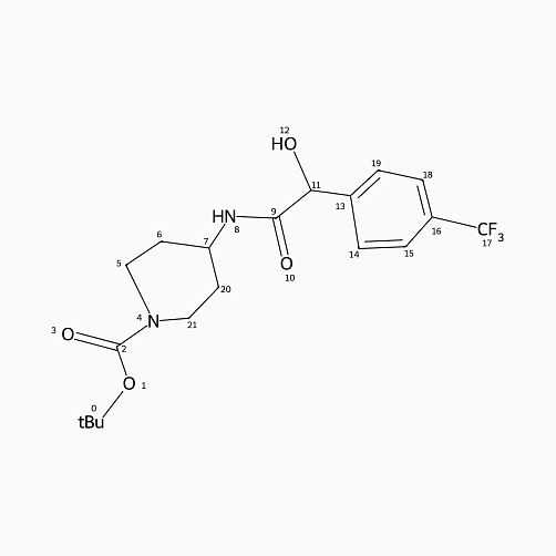 CC(C)(C)OC(=O)N1CCC(NC(=O)C(O)c2ccc(C(F)(F)F)cc2)CC1